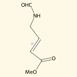 COC(=O)/C=C/CNC=O